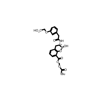 CC(C)(C)C(=O)OCOC(=O)c1cccc2c1OB(O)[C@@H](NC(=O)Cc1cccc(OCC(=O)O)c1)C2